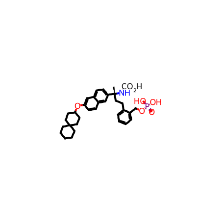 C[C@](CCc1ccccc1COP(=O)(O)O)(NC(=O)O)c1ccc2cc(OC3CCC4(CCCCC4)CC3)ccc2c1